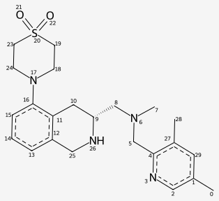 Cc1cnc(CN(C)C[C@H]2Cc3c(cccc3N3CCS(=O)(=O)CC3)CN2)c(C)c1